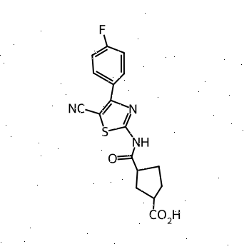 N#Cc1sc(NC(=O)C2CCC(C(=O)O)C2)nc1-c1ccc(F)cc1